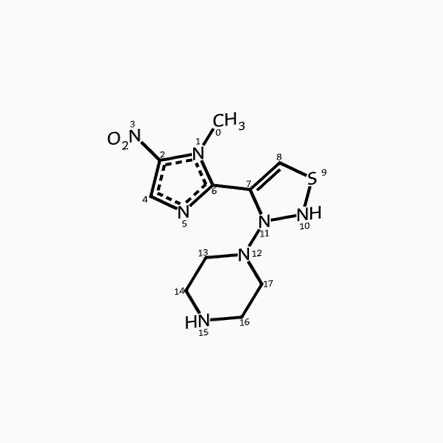 Cn1c([N+](=O)[O-])cnc1C1=CSNN1N1CCNCC1